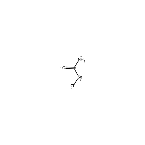 NC(=O)[Se]Cl